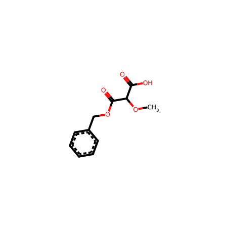 COC(C(=O)O)C(=O)OCc1ccccc1